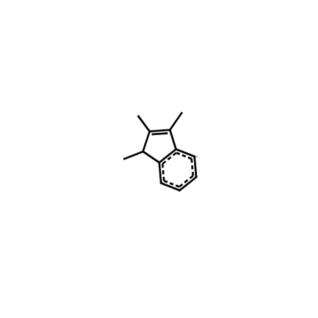 CC1=C(C)C(C)c2ccc[c]c21